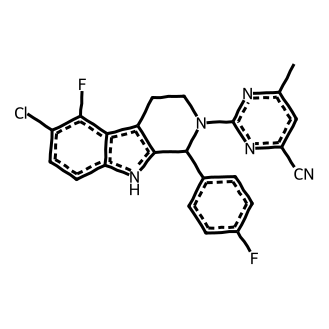 Cc1cc(C#N)nc(N2CCc3c([nH]c4ccc(Cl)c(F)c34)C2c2ccc(F)cc2)n1